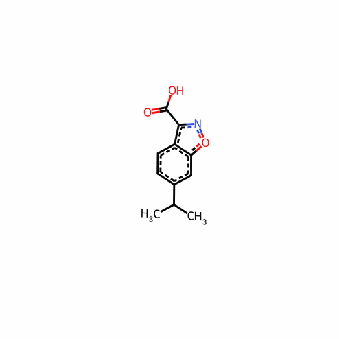 CC(C)c1ccc2c(C(=O)O)noc2c1